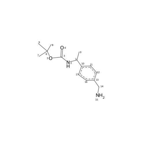 CC(NC(=O)OC(C)(C)C)c1ccc(CN)cc1